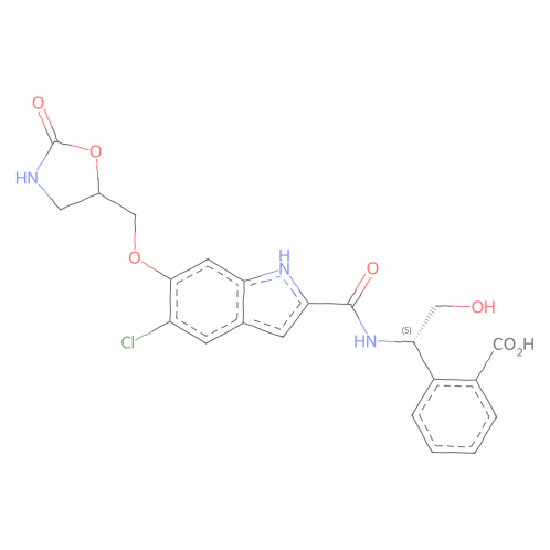 O=C1NCC(COc2cc3[nH]c(C(=O)N[C@H](CO)c4ccccc4C(=O)O)cc3cc2Cl)O1